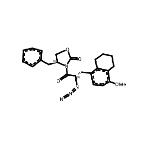 COc1ccc(C[C@H](N=[N+]=[N-])C(=O)N2C(=O)OC[C@@H]2Cc2ccccc2)c2c1CCCC2